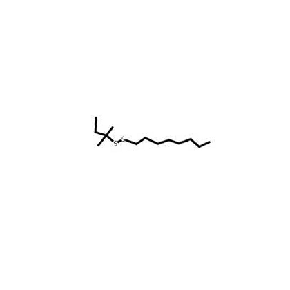 CCCCCCCCSSC(C)(C)CC